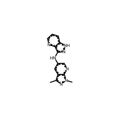 Cc1nn(C)c2ncc(Nc3n[nH]c4cccnc34)cc12